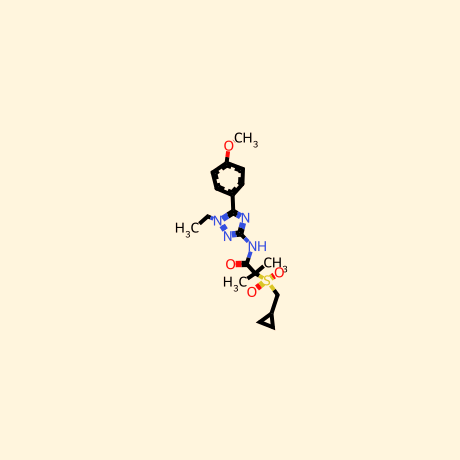 CCn1nc(NC(=O)C(C)(C)S(=O)(=O)CC2CC2)nc1-c1ccc(OC)cc1